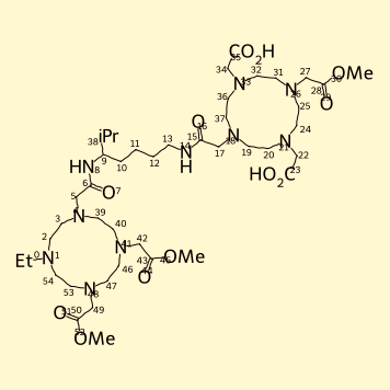 CCN1CCN(CC(=O)NC(CCCCNC(=O)CN2CCN(CC(=O)O)CCN(CC(=O)OC)CCN(CC(=O)O)CC2)C(C)C)CCN(CC(=O)OC)CCN(CC(=O)OC)CC1